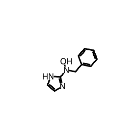 ON(Cc1ccccc1)c1ncc[nH]1